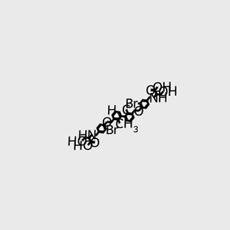 Cc1c(COc2ccc(CNC(CO)C(=O)O)cc2Br)cccc1-c1cccc(COc2ccc(CNC(CO)C(=O)O)cc2Br)c1C